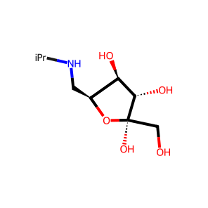 CC(C)NC[C@@H]1O[C@](O)(CO)[C@@H](O)[C@@H]1O